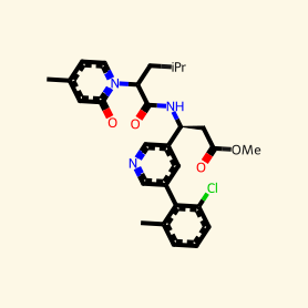 COC(=O)C[C@H](NC(=O)C(CC(C)C)n1ccc(C)cc1=O)c1cncc(-c2c(C)cccc2Cl)c1